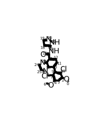 COc1cc(OC)c(Cl)c(-c2ccc(C(=O)Nc3ccn[nH]3)c3nccnc23)c1Cl